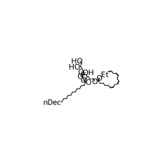 CC/C=C\C/C=C\C/C=C\C/C=C\CCCCC(=O)OC[C@H](COP(=O)(O)OC[C@@H](O)CO)OC(=O)CCCCCCCCCCCCCCCCCCCCC